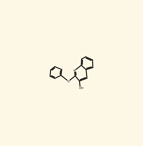 Oc1cc2ccccc2nc1Oc1ccccc1